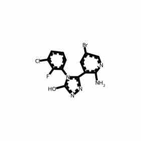 Nc1ncc(Br)cc1-c1nnc(O)n1-c1cccc(Cl)c1F